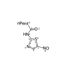 CCCCCC(=O)Nc1ncc(N=O)s1